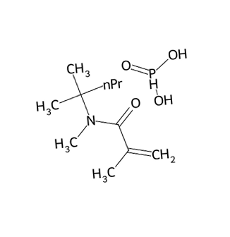 C=C(C)C(=O)N(C)C(C)(C)CCC.O=[PH](O)O